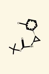 CC(C)(C)OC(=O)N[C@@H]1C[C@H]1c1cccc(Cl)c1